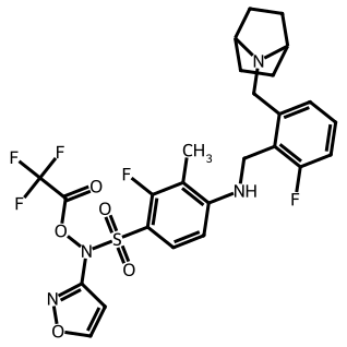 Cc1c(NCc2c(F)cccc2CN2C3CCC2CC3)ccc(S(=O)(=O)N(OC(=O)C(F)(F)F)c2ccon2)c1F